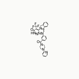 O=C(c1cccc(NC[C@@H]2c3ccccc3CN2c2cn[nH]c(=O)c2C(F)(F)F)c1)N1CCN(c2ccccn2)CC1